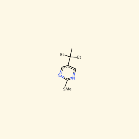 CCC(C)(CC)c1cnc(SC)nc1